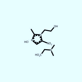 CN(C)CC(=O)O.Cc1ncc([N+](=O)[O-])n1CCO.Cl